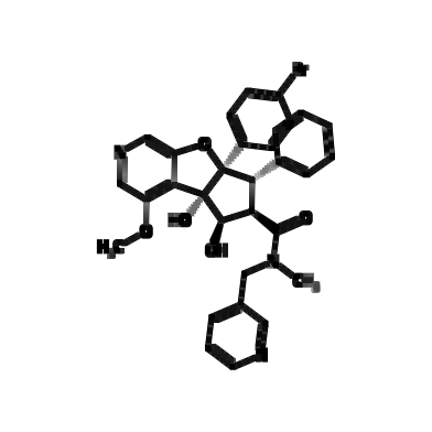 COc1cncc2c1[C@]1(O)[C@H](O)[C@H](C(=O)N(C)Cc3cccnc3)[C@@H](c3ccccc3)[C@]1(c1ccc(Br)cc1)O2